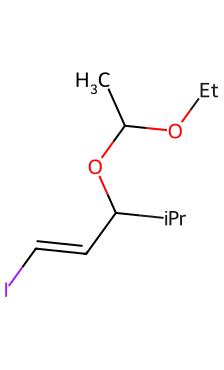 CCOC(C)OC(/C=C/I)C(C)C